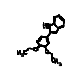 CCOc1ccc(-c2cc3ccccc3[nH]2)cc1OCC